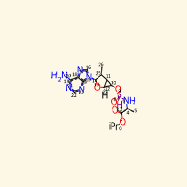 CC(C)OC(=O)[C@H](C)N[PH](=O)OC1C2[C@@H]1O[C@@H](n1cnc3c(N)ncnc31)[C@H]2C